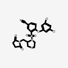 N#Cc1ccc(Oc2cc(Cl)cc(Cl)c2)c(S(=O)(=O)N2CCNCC2CN2C(=O)CCC2=O)c1